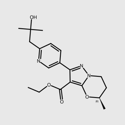 CCOC(=O)c1c(-c2ccc(CC(C)(C)O)nc2)nn2c1O[C@H](C)CC2